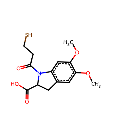 COc1cc2c(cc1OC)N(C(=O)CCS)C(C(=O)O)C2